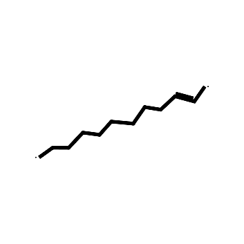 [CH2]C=CCCCCCCCC[CH2]